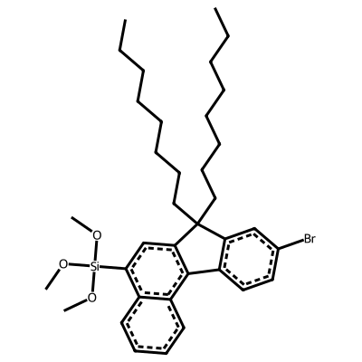 CCCCCCCCC1(CCCCCCCC)c2cc(Br)ccc2-c2c1cc([Si](OC)(OC)OC)c1ccccc21